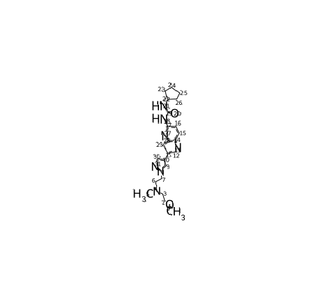 COCCN(C)CCn1cc(-c2cnc3ccc(NC(=O)NC4CCCC4)nc3c2)cn1